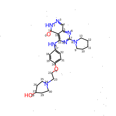 O=c1[nH]ncc2nc(N3CCCCC3)nc(Nc3ccc(OCCN4CCC(O)CC4)cc3)c12